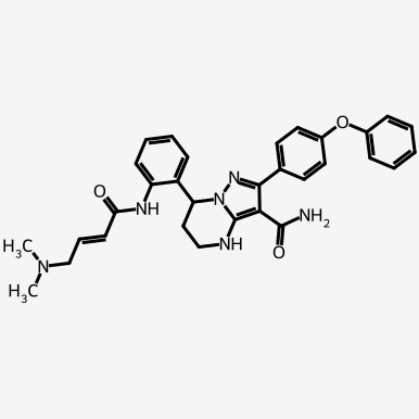 CN(C)C/C=C/C(=O)Nc1ccccc1C1CCNc2c(C(N)=O)c(-c3ccc(Oc4ccccc4)cc3)nn21